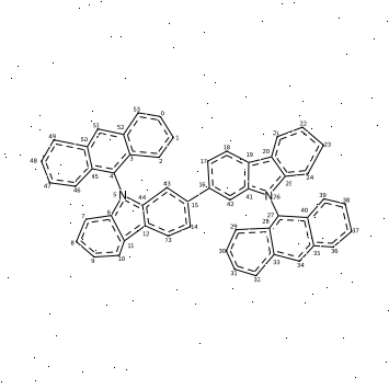 c1ccc2c(-n3c4ccccc4c4ccc(-c5ccc6c7ccccc7n(-c7c8ccccc8cc8ccccc78)c6c5)cc43)c3ccccc3cc2c1